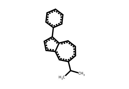 CC(C)c1cccc2c(-c3ccccc3)ccc-2c1